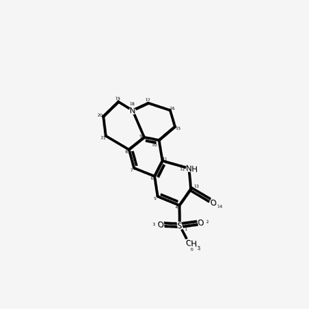 CS(=O)(=O)c1cc2cc3c4c(c2[nH]c1=O)CCCN4CCC3